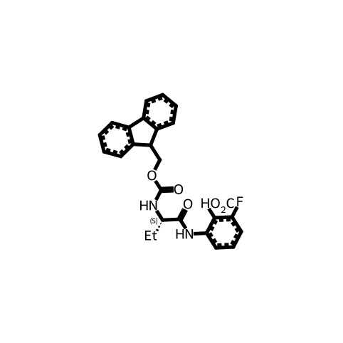 CC[C@H](NC(=O)OCC1c2ccccc2-c2ccccc21)C(=O)Nc1cccc(F)c1C(=O)O